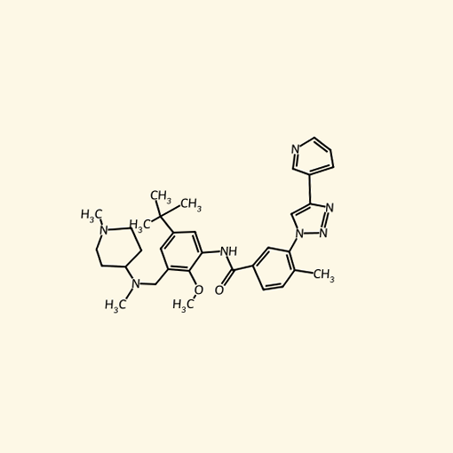 COc1c(CN(C)C2CCN(C)CC2)cc(C(C)(C)C)cc1NC(=O)c1ccc(C)c(-n2cc(-c3cccnc3)nn2)c1